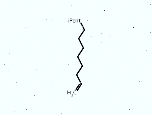 C=CCCCCCCC(C)CCC